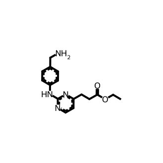 CCOC(=O)CCc1ccnc(Nc2ccc(CN)cc2)n1